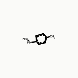 [CH2]CCCNc1ccc(C)cc1